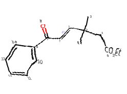 CCOC(=O)CC(C)(C)/C=C/C(=O)c1ccccc1